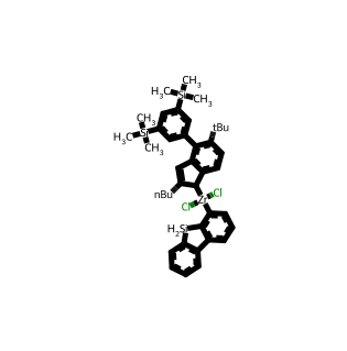 CCCCC1=Cc2c(ccc(C(C)(C)C)c2-c2cc([Si](C)(C)C)cc([Si](C)(C)C)c2)[CH]1[Zr]([Cl])([Cl])[c]1cccc2c1[SiH2]c1ccccc1-2